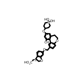 Cc1cc(OC2CCS(O)(O)CC2)cc2c1-c1cc(COc3ccc4c(c3)OC[C@H]4CC(=O)O)ccc1OCC2